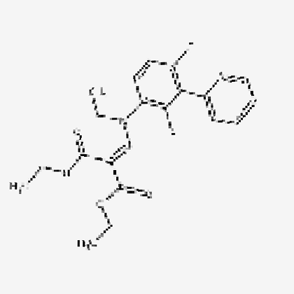 CCOC(=O)C(=CN(CC)c1ccc(F)c(-c2ccccn2)c1F)C(=O)OCC